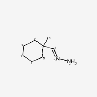 CC1(C=NN)CCCCC1